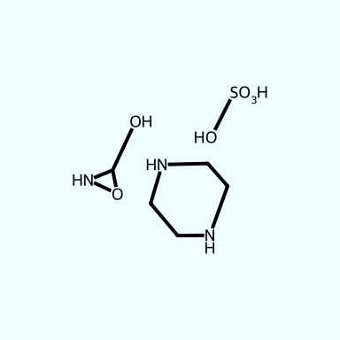 C1CNCCN1.O=S(=O)(O)O.OC1NO1